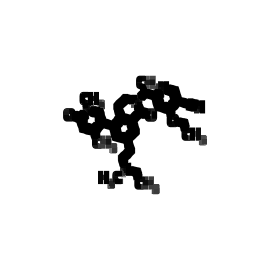 CCOc1cc([C@H](C)N2CCc3c(cc(CCN(C)CC)cc3-c3cn(C)c(=O)cc3C)C2=O)ncc1C#N